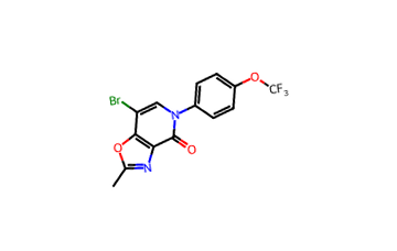 Cc1nc2c(=O)n(-c3ccc(OC(F)(F)F)cc3)cc(Br)c2o1